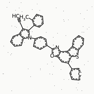 C#Cc1c(-c2ccccc2C)n(-c2ccc(-c3nc4c(cc(-c5ccccc5)c5sc6ccccc6c54)o3)cc2)c2ccccc12